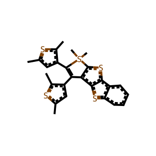 Cc1cc(C2=C(c3cc(C)sc3C)S(C)(C)c3sc4c(sc5ccccc54)c32)c(C)s1